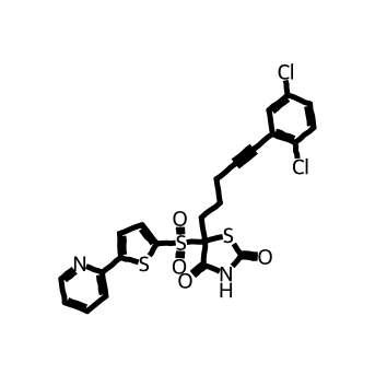 O=C1NC(=O)C(CCCC#Cc2cc(Cl)ccc2Cl)(S(=O)(=O)c2ccc(-c3ccccn3)s2)S1